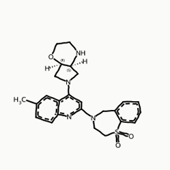 Cc1ccc2nc(N3CCS(=O)(=O)c4ccccc4C3)cc(N3C[C@@H]4NCCO[C@@H]4C3)c2c1